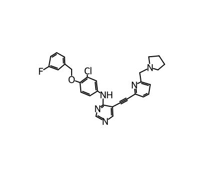 Fc1cccc(COc2ccc(Nc3ncncc3C#Cc3cccc(CN4CCCC4)n3)cc2Cl)c1